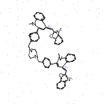 CN1C(c2ccc(CN3CCN(Cc4ccc(C5=C/C(=C\c6oc7ccccc7[n+]6C)c6ccccc6N5C)cc4)CC3)cc2)=C/C(=C\c2oc3ccccc3[n+]2C)c2ccccc21